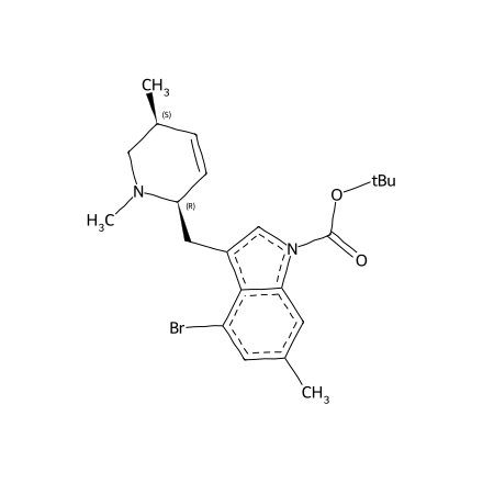 Cc1cc(Br)c2c(C[C@@H]3C=C[C@H](C)CN3C)cn(C(=O)OC(C)(C)C)c2c1